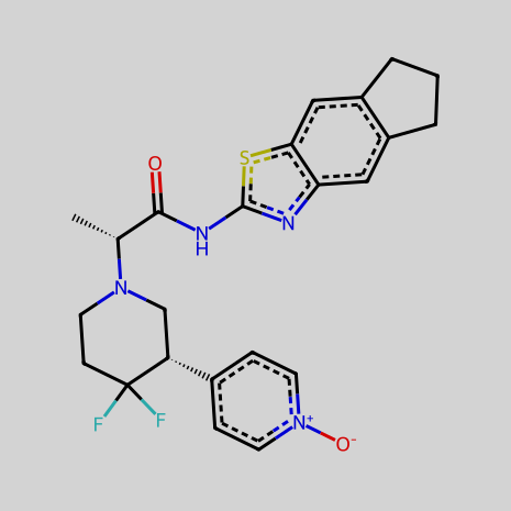 C[C@H](C(=O)Nc1nc2cc3c(cc2s1)CCC3)N1CCC(F)(F)[C@@H](c2cc[n+]([O-])cc2)C1